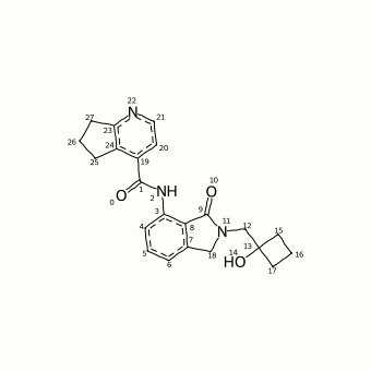 O=C(Nc1cccc2c1C(=O)N(CC1(O)CCC1)C2)c1ccnc2c1CCC2